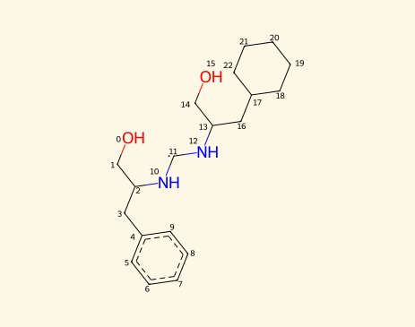 OCC(Cc1ccccc1)N[CH]NC(CO)CC1CCCCC1